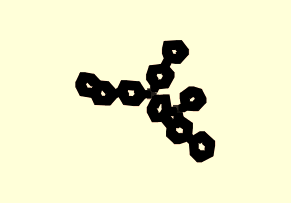 c1ccc(-c2ccc(N(c3ccc(-c4ccc5ccccc5c4)cc3)c3ccc4c5ccc(-c6ccccc6)cc5n(-c5ccccc5)c4c3)cc2)cc1